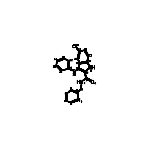 O=C(NCc1ccccn1)c1[nH]c2ccc(Cl)cc2c1Sc1ccccc1